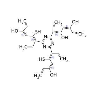 C=C/C(=C(O)\C=C(\O)C=C)c1nc(/C(C=C)=C(S)/C=C(/O)C=C)nc(/C(C=C)=C(S)/C=C(/O)C=C)n1